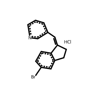 Brc1ccc2c(c1)CC/C2=C/c1cccnc1.Cl